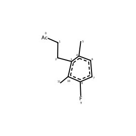 CC(=O)CCc1c(C)ccc(F)c1C